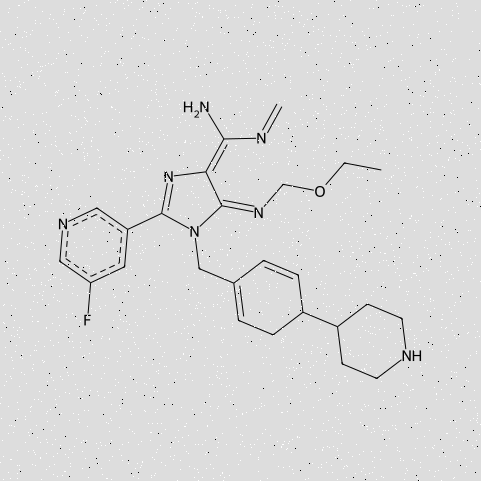 C=N/C(N)=C1/N=C(c2cncc(F)c2)N(CC2=CCC(C3CCNCC3)C=C2)/C1=N/COCC